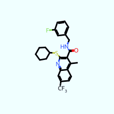 Cc1c(C(=O)NCc2cccc(F)c2)c(SC2CCCCC2)nc2cc(C(F)(F)F)ccc12